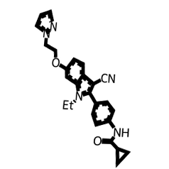 CCn1c(-c2ccc(NC(=O)C3CC3)cc2)c(C#N)c2ccc(OCCn3cccn3)cc21